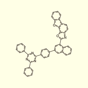 c1ccc(-c2nc(-c3ccccc3)nc(-c3ccc(-c4cc(-c5nc6ccc7c8ccccc8oc7c6o5)c5ccccc5c4)cc3)n2)cc1